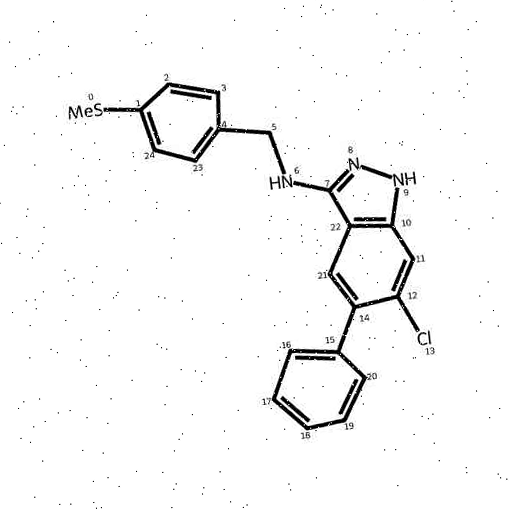 CSc1ccc(CNc2n[nH]c3cc(Cl)c(-c4ccccc4)cc23)cc1